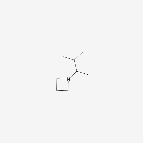 CC(C)C(C)N1C[CH]C1